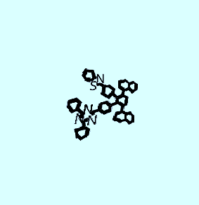 c1ccc(-c2nc(-c3ccccc3)nc(-c3ccc(-c4c(-c5cccc6ccccc56)ccc(-c5cccc6ccccc56)c4-c4ccc(-c5nc6ccccc6s5)cc4)cc3)n2)cc1